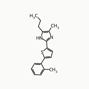 CCCc1[nH]c(-c2ccc(-c3ccccc3C)s2)nc1C